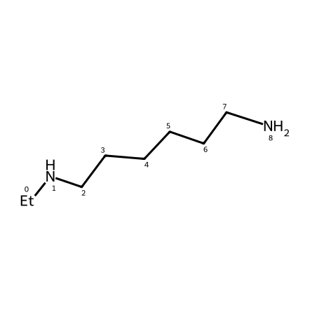 [CH2]CNCCCCCCN